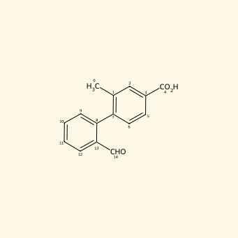 Cc1cc(C(=O)O)ccc1-c1ccccc1C=O